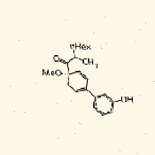 CCCCCCC(C)C(=O)[C@@]1(OC)C=CC(c2cccc(O)c2)=CC1